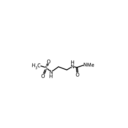 CNC(=O)NCCNS(C)(=O)=O